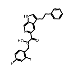 O=C(c1cc2c(CCc3ccccc3)c[nH]c2cn1)N(O)Cc1ccc(F)cc1F